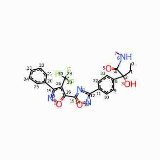 CCC(O)(C(=O)NC)c1ccc(-c2noc(-c3onc(-c4ccccc4)c3C(F)(F)F)n2)cc1